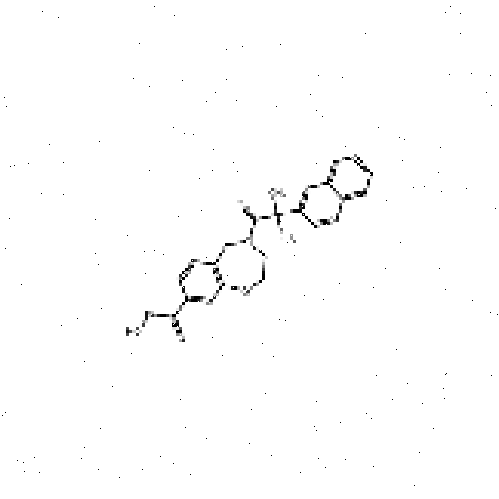 CC(C)(C(=O)N1CCOc2cc(C(=O)NO)ccc2C1)c1ccc2ccccc2c1